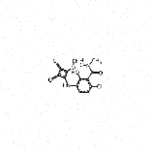 CCOc1c(Nc2ccc(Cl)c(C(=O)N(C)C)c2O)c(=O)c1=O